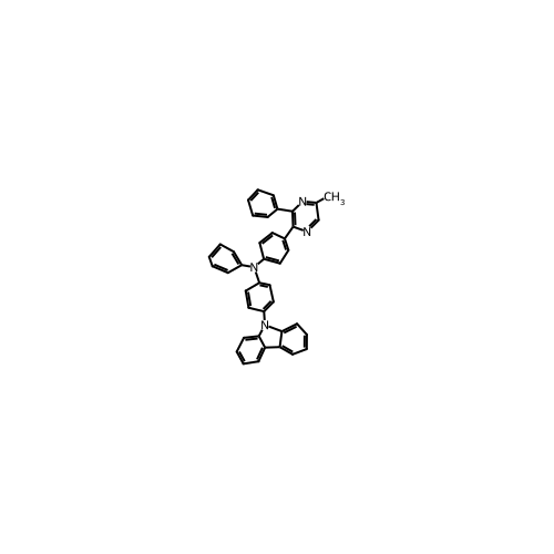 Cc1cnc(-c2ccc(N(c3ccccc3)c3ccc(-n4c5ccccc5c5ccccc54)cc3)cc2)c(-c2ccccc2)n1